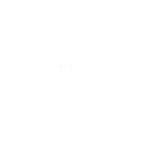 c1ccc(-c2nnc(-c3cccc(-c4ccccn4)n3)o2)cc1